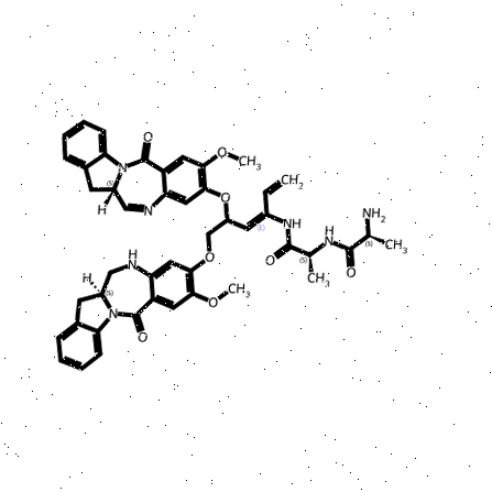 C=C/C(=C\C(COc1cc2c(cc1OC)C(=O)N1c3ccccc3C[C@H]1CN2)Oc1cc2c(cc1OC)C(=O)N1c3ccccc3C[C@H]1C=N2)NC(=O)[C@H](C)NC(=O)[C@H](C)N